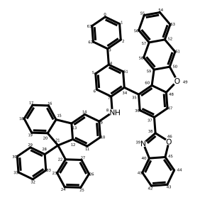 c1ccc(-c2ccc(Nc3ccc4c(c3)-c3ccccc3C4(c3ccccc3)c3ccccc3)c(-c3cc(-c4nc5ccccc5o4)cc4oc5cc6ccccc6cc5c34)c2)cc1